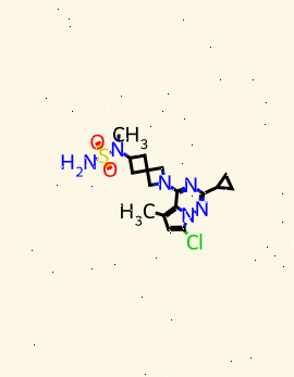 Cc1cc(Cl)n2nc(C3CC3)nc(N3CC4(CC(N(C)S(N)(=O)=O)C4)C3)c12